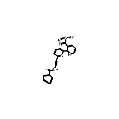 CC(C)n1cnnc1-c1cccnc1-c1cccc(C#CNC(=O)c2ccccc2)n1